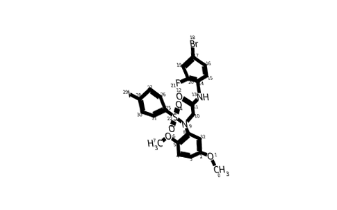 COc1ccc(OC)c(N(CC(=O)Nc2ccc(Br)cc2F)S(=O)(=O)c2ccc(I)cc2)c1